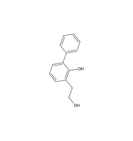 OCCc1cccc(-c2ccccc2)c1O